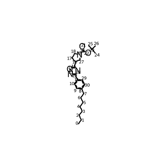 CCCCCCCCc1ccc(-c2noc(C3CCN(C(=O)OC(C)(C)C)C3)n2)cc1